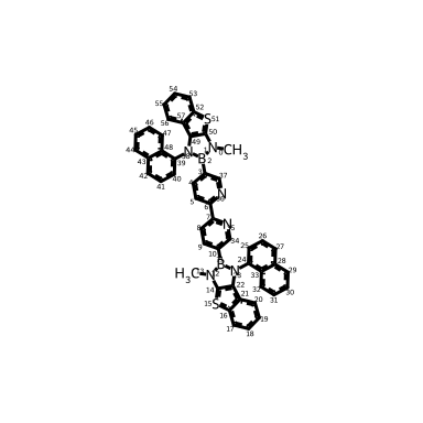 CN1B(c2ccc(-c3ccc(B4N(C)c5sc6ccccc6c5N4c4cccc5ccccc45)cn3)nc2)N(c2cccc3ccccc23)c2c1sc1ccccc21